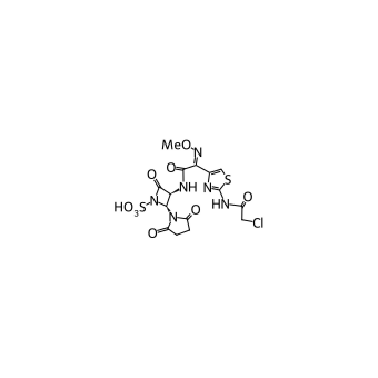 CO/N=C(\C(=O)N[C@@H]1C(=O)N(S(=O)(=O)O)[C@@H]1N1C(=O)CCC1=O)c1csc(NC(=O)CCl)n1